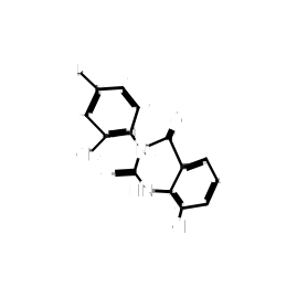 O=c1[nH]c2c(Cl)cccc2c(=O)n1-c1ccc(I)cc1Cl